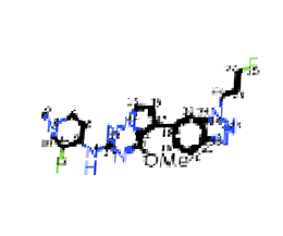 COc1nc(N[C@@H]2CCN(C)C[C@@H]2F)nn2ccc(-c3ccc4nnn(CCCF)c4c3)c12